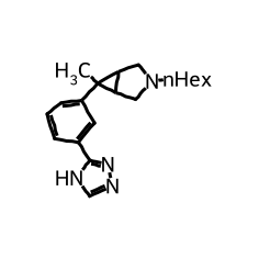 CCCCCCN1CC2C(C1)C2(C)c1cccc(-c2nnc[nH]2)c1